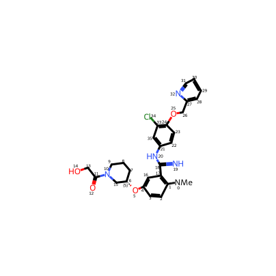 CNc1ccc(O[C@H]2CCCN(C(=O)CO)C2)cc1C(=N)Nc1ccc(OCc2ccccn2)c(Cl)c1